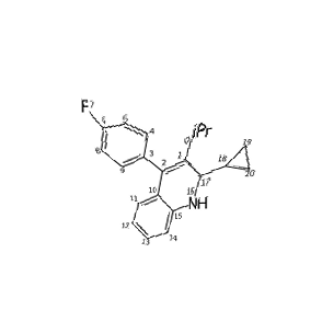 CC(C)C1=C(c2ccc(F)cc2)c2ccccc2NC1C1CC1